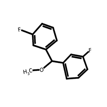 COC(c1cccc(F)c1)c1cccc(F)c1